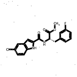 COC(=O)[C@H](Cc1cccc(F)c1)NC(=O)c1cc2cc(Cl)ccc2[nH]1